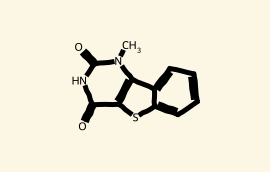 Cn1c(=O)[nH]c(=O)c2sc3ccccc3c21